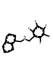 Fc1c(F)c(F)c(CNCc2cccc3ccccc23)c(F)c1F